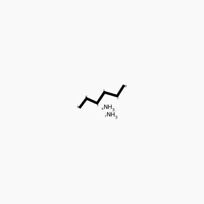 CCCCCC.N.N